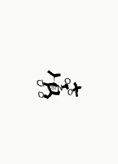 CC(C)[C@H]1C(Cl)C(C=O)CN1C(=O)OC(C)(C)C